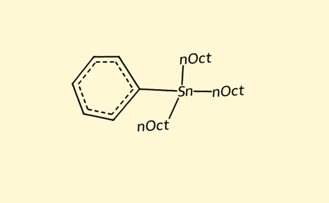 CCCCCCC[CH2][Sn]([CH2]CCCCCCC)([CH2]CCCCCCC)[c]1ccccc1